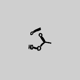 C=O.CC(=O)OO